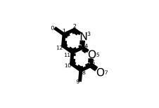 Cc1cnc2oc(=O)c(C)cc2c1